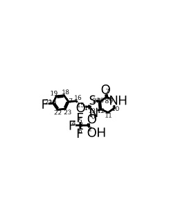 O=C(O)C(F)(F)F.O=C1NCCc2nc(OCc3ccc(F)cc3)sc21